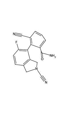 N#Cc1cccc(C(N)=O)c1-c1c(F)ccc2c1CN(C#N)C2